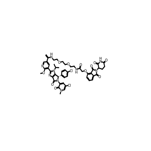 C=C(NCCOCCOCCNC(=O)COc1cccc2c1C(=O)N(C1CCC(=O)NC1=O)C2=O)c1cnc(OC)c(-c2nc3c(n2C(C)C)[C@H](c2ccc(Cl)cc2)N(c2cc(Cl)cn(C)c2=O)C3=O)c1